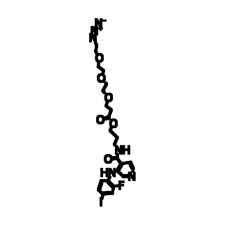 [N-]=[N+]=NCCOCCOCCOCCC(=O)OCCCNC(=O)c1ccncc1Nc1ccc(I)cc1F